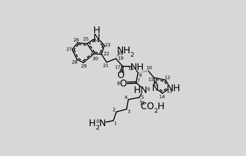 NCCCC[C@H](NC(=O)[C@@H](Cc1c[nH]cn1)NC(=O)[C@@H](N)Cc1c[nH]c2ccccc12)C(=O)O